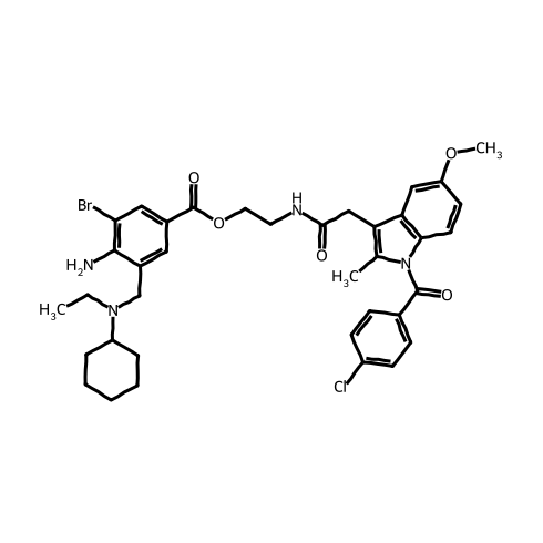 CCN(Cc1cc(C(=O)OCCNC(=O)Cc2c(C)n(C(=O)c3ccc(Cl)cc3)c3ccc(OC)cc23)cc(Br)c1N)C1CCCCC1